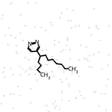 CCCCCCCC(CCCC)c1ccnnc1